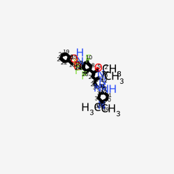 CC(C)n1c(=O)c(-c2cc(F)c(NS(=O)(=O)Cc3ccccc3)c(F)c2F)cc2cnc(NC3CCC(N(C)C)CC3)nc21